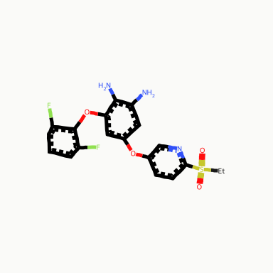 CCS(=O)(=O)c1ccc(Oc2cc(N)c(N)c(Oc3c(F)cccc3F)c2)cn1